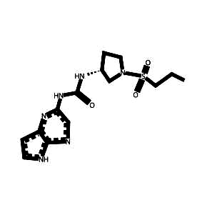 CCCS(=O)(=O)N1CC[C@@H](NC(=O)Nc2cnc3[nH]ccc3n2)C1